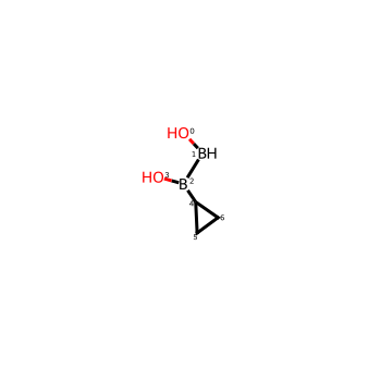 OBB(O)C1CC1